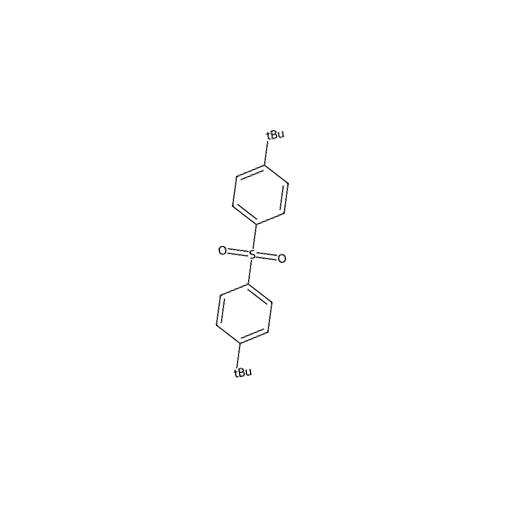 CC(C)(C)c1ccc(S(=O)(=O)c2ccc(C(C)(C)C)cc2)cc1